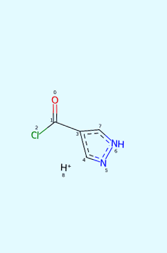 O=C(Cl)c1cn[nH]c1.[H+]